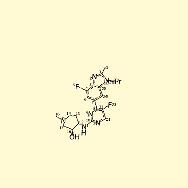 Cc1nc2c(F)cc(-c3nc(N[C@H]4CCN(C)C[C@@H]4O)ncc3F)cc2n1C(C)C